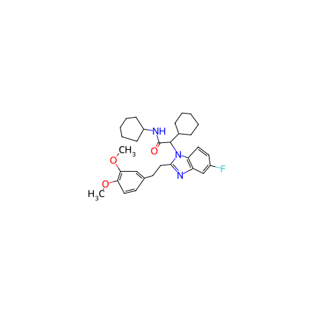 COc1ccc(CCc2nc3cc(F)ccc3n2C(C(=O)NC2CCCCC2)C2CCCCC2)cc1OC